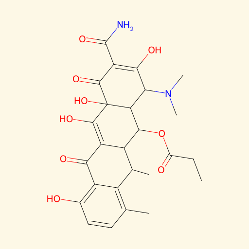 CCC(=O)OC1C2C(=C(O)C3(O)C(=O)C(C(N)=O)=C(O)C(N(C)C)C13)C(=O)c1c(O)ccc(C)c1C2C